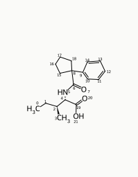 CC[C@H](C)[C@H](NC(=O)C1(c2ccccc2)CCCC1)C(=O)O